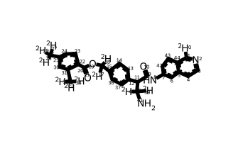 [2H]c1nccc2cc(NC(=O)C(c3ccc(C([2H])([2H])OC(=O)c4ccc(C([2H])([2H])[2H])cc4C([2H])([2H])[2H])cc3)C([2H])([2H])N)ccc12